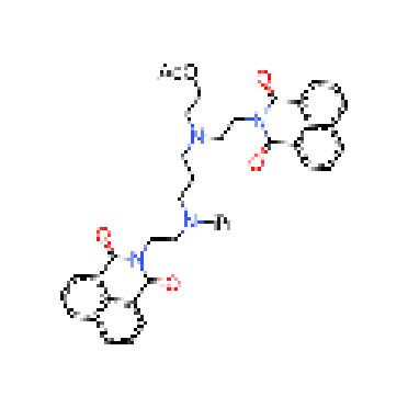 CC(=O)OCCN(CCCN(CCN1C(=O)c2cccc3cccc(c23)C1=O)C(C)C)CCN1C(=O)c2cccc3cccc(c23)C1=O